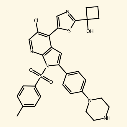 Cc1ccc(S(=O)(=O)n2c(-c3ccc(N4CCNCC4)cc3)cc3c(-c4cnc(C5(O)CCC5)s4)c(Cl)cnc32)cc1